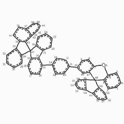 c1ccc2c(c1)Oc1ccc(-c3ccc(-c4cccc5c4-c4ccccc4C54c5ccccc5-c5ccc6ccccc6c54)cc3)cc1C21c2ccccc2-c2ccccc21